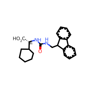 O=C(NCC1c2ccccc2-c2ccccc21)N[C@@H](C(=O)O)C1CCCCC1